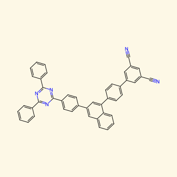 N#Cc1cc(C#N)cc(-c2ccc(-c3cc(-c4ccc(-c5nc(-c6ccccc6)nc(-c6ccccc6)n5)cc4)cc4ccccc34)cc2)c1